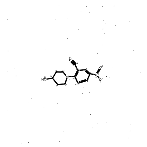 N#Cc1cc([N+](=O)[O-])cnc1N1CCC(O)CC1